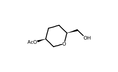 CC(=O)O[C@H]1CC[C@@H](CO)OC1